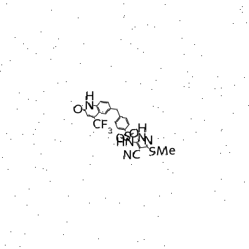 CSc1n[nH]c(NS(=O)(=O)c2ccc(Cc3ccc4[nH]c(=O)cc(C(F)(F)F)c4c3)cc2)c1C#N